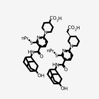 CCCSc1nc(N2CCC(C(=O)O)CC2)ccc1C(=O)NC1C2CC3CC1CC(O)(C3)C2.CCCSc1nc(N2CCC[C@H](CC(=O)O)C2)ccc1C(=O)NC1C2CC3CC1CC(O)(C3)C2